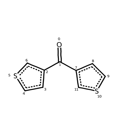 O=C(c1ccsc1)c1ccsc1